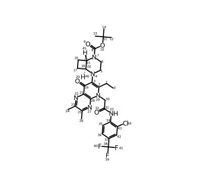 CCc1c(N2CCN(C(=O)OC(C)(C)C)[C@H]3CC[C@@H]32)c(=O)c2nc(C)c(C)nc2n1CC(=O)Nc1ccc(C(F)(F)F)cc1Cl